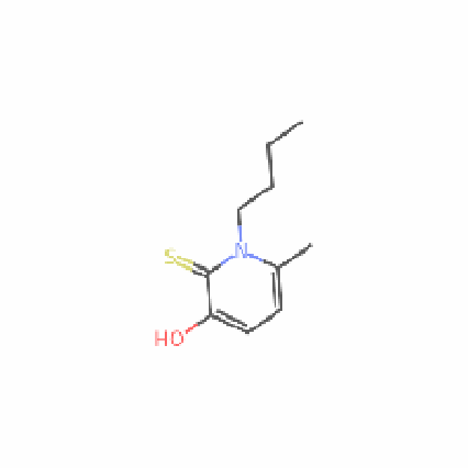 CCCCn1c(C)ccc(O)c1=S